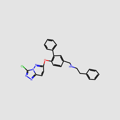 Clc1nnc2ccc(Oc3ccc(CNCCc4ccccc4)cc3-c3ccccc3)nn12